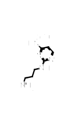 CCCCNc1ccnc(NCCCN)n1